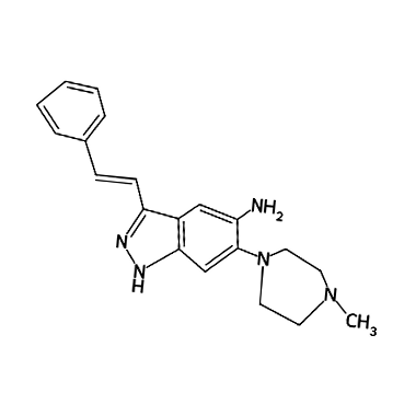 CN1CCN(c2cc3[nH]nc(C=Cc4ccccc4)c3cc2N)CC1